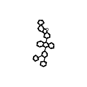 c1ccc(-c2ccc(-c3c4ccccc4c(-c4ccc5oc6c7ccccc7ccc6c5c4)c4ccccc34)cc2-c2ccccc2)cc1